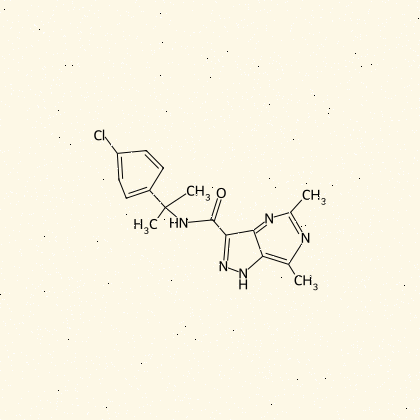 Cc1nc(C)c2[nH]nc(C(=O)NC(C)(C)c3ccc(Cl)cc3)c2n1